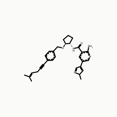 CC(C)=CCC#Cc1ccc(CO[C@H]2CCC[C@@H]2NC(=O)c2cc(C3=CC(C)N=C3)cnc2N)cc1